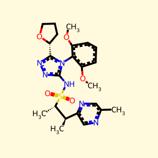 COc1cccc(OC)c1-n1c(NS(=O)(=O)[C@@H](C)[C@H](C)c2cnc(C)cn2)nnc1[C@H]1CCCO1